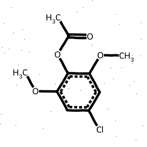 COc1cc(Cl)cc(OC)c1OC(C)=O